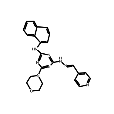 C(=N\Nc1nc(Nc2cccc3ccccc23)nc(N2CCOCC2)n1)/c1ccncc1